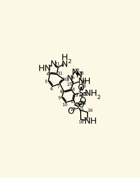 Nc1n[nH]c2ccc(-c3ccc(S(=O)(=O)C4CNC4)c(S(N)(=O)=O)c3-c3nnn[nH]3)cc12